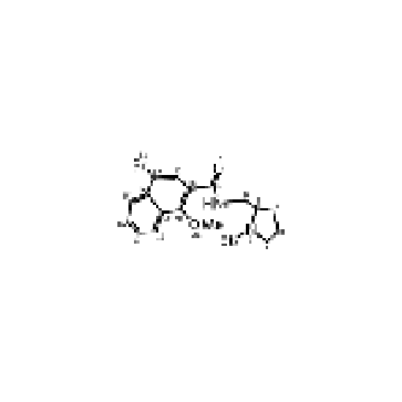 CCN1CCCC1CNC(=O)c1cc(Br)c2ccccc2c1OC